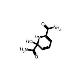 NC(=O)C1=CC=CC(O)(C(N)=O)N1